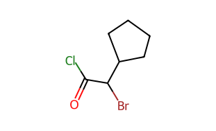 O=C(Cl)C(Br)C1CCCC1